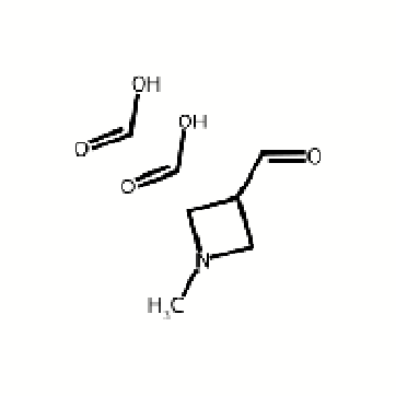 CN1CC(C=O)C1.O=CO.O=CO